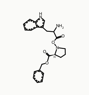 NC(Cc1c[nH]c2ccccc12)C(=O)ON1CCC[C@H]1C(=O)OCc1ccccc1